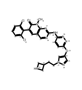 Cn1c(=O)c(-c2c(Cl)cccc2Cl)cc2cnc(Nc3ccc(Oc4cnn(CCC5CNC5)c4)nn3)nc21